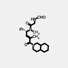 C/C(=C\[C@H](C(C)C)N(C)C(=O)CNC=O)C(=O)N1CCC2CCCCC2C1